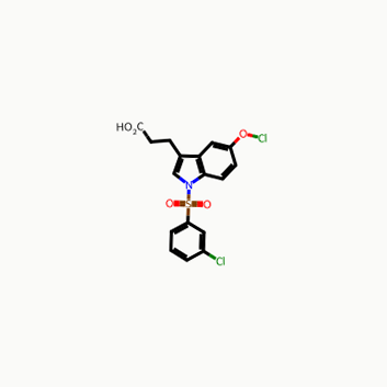 O=C(O)CCc1cn(S(=O)(=O)c2cccc(Cl)c2)c2ccc(OCl)cc12